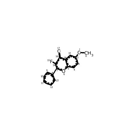 COc1ccc2oc(-c3ccccc3)c(F)c(=O)c2c1